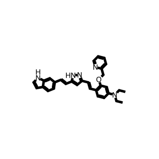 CCN(CC)c1ccc(C=Cc2cc(C=Cc3ccc4cc[nH]c4c3)[nH]n2)c(OCc2ccccn2)c1